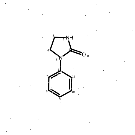 O=C1NCCN1c1cc[c]cc1